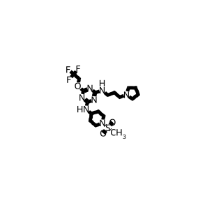 CS(=O)(=O)N1CCC(Nc2nc(NCCCN3CCCC3)nc(OCC(F)(F)F)n2)CC1